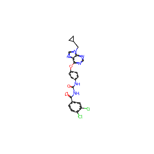 O=C(NC(=O)c1ccc(Cl)c(Cl)c1)Nc1ccc(Oc2ncnc3c2ncn3CC2CC2)cc1